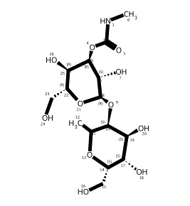 CNC(=O)O[C@H]1[C@H](O)[C@@H](O[C@@H]2C(C)O[C@@H](CO)[C@@H](O)[C@@H]2O)O[C@H](CO)[C@H]1O